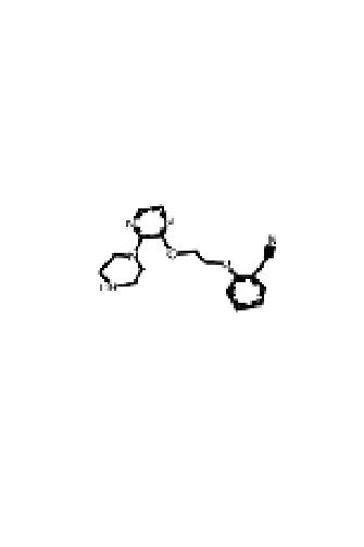 N#Cc1ccccc1OCCOc1nccnc1N1CCNCC1